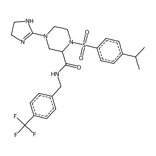 CC(C)c1ccc(S(=O)(=O)N2CCN(C3=NCCN3)CC2C(=O)NCc2ccc(C(F)(F)F)cc2)cc1